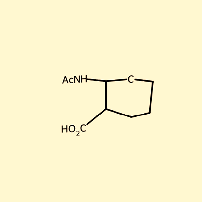 CC(=O)NC1CCCCC1C(=O)O